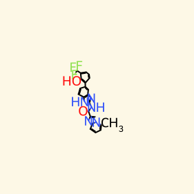 Cc1cccc2nc(C(=O)Nc3nc4cc(-c5cccc(C(F)(F)F)c5O)ccc4[nH]3)cn12